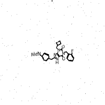 CNc1ccc(Cc2nc3c([nH]2)c(=O)n(Cc2ccccc2F)c(=O)n3CC2CCC2)cc1